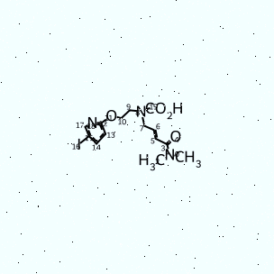 CN(C)C(=O)C=CCN(CCOc1ccc(I)cn1)C(=O)O